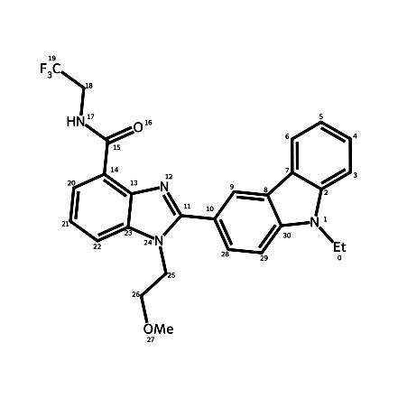 CCn1c2ccccc2c2cc(-c3nc4c(C(=O)NCC(F)(F)F)cccc4n3CCOC)ccc21